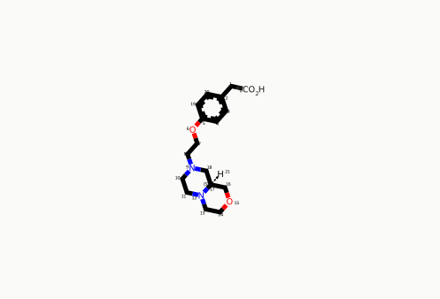 O=C(O)Cc1ccc(OCCN2CCN3CCOC[C@@H]3C2)cc1